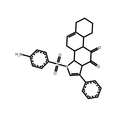 Nc1ccc(S(=O)(=O)N2C=C(c3ccccc3)C3C(=O)C(=O)C4C5CCCCC5=CCC4C32)cc1